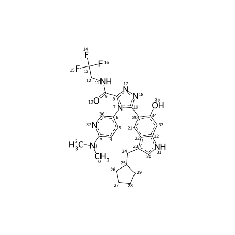 CN(C)c1ccc(-n2c(C(=O)NCC(F)(F)F)nnc2-c2cc3c(CC4CCCC4)c[nH]c3cc2O)cn1